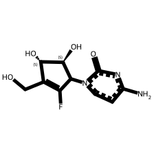 Nc1ccn(C2C(F)=C(CO)[C@H](O)[C@H]2O)c(=O)n1